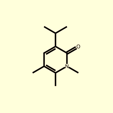 Cc1cc(C(C)C)c(=O)n(C)c1C